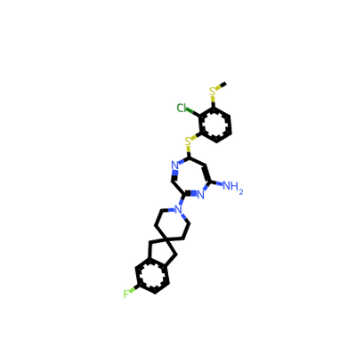 CSc1cccc(SC2C=C(N)N=C(N3CCC4(CC3)Cc3ccc(F)cc3C4)C=N2)c1Cl